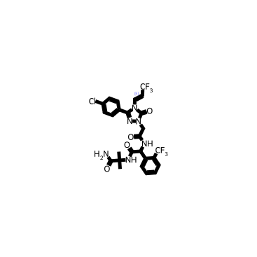 CC(C)(NC(=O)C(NC(=O)Cn1nc(-c2ccc(Cl)cc2)n(/C=C/C(F)(F)F)c1=O)c1ccccc1C(F)(F)F)C(N)=O